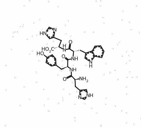 N[C@@H](Cc1c[nH]cn1)C(=O)N[C@@H](Cc1ccc(O)cc1)C(=O)N[C@@H](Cc1c[nH]c2ccccc12)C(=O)N[C@@H](Cc1c[nH]cn1)C(=O)O